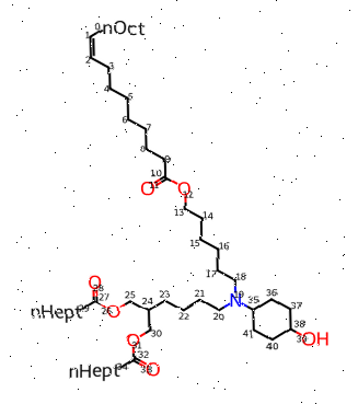 CCCCCCCC/C=C\CCCCCCCC(=O)OCCCCCCN(CCCCC(COC(=O)CCCCCCC)COC(=O)CCCCCCC)C1CCC(O)CC1